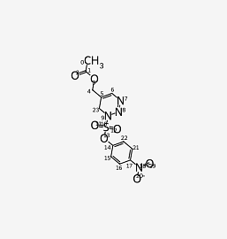 CC(=O)OCC1=CN=NN(S(=O)(=O)Oc2ccc([N+](=O)[O-])cc2)C1